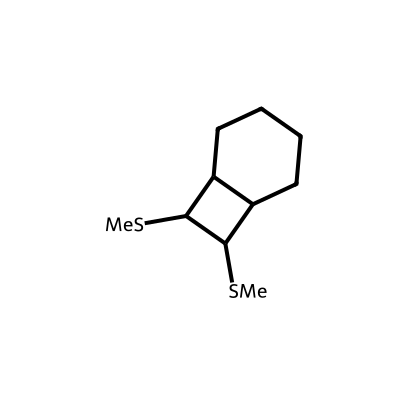 CSC1C2CCCCC2C1SC